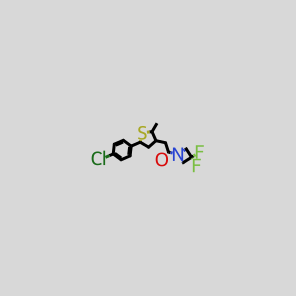 CC1SC(c2ccc(Cl)cc2)CC1CC(=O)N1CC(F)(F)C1